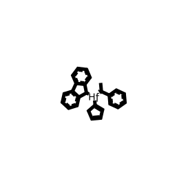 C[C](c1ccccc1)=[Hf]([C]1=CC=CC1)[CH]1c2ccccc2-c2ccccc21